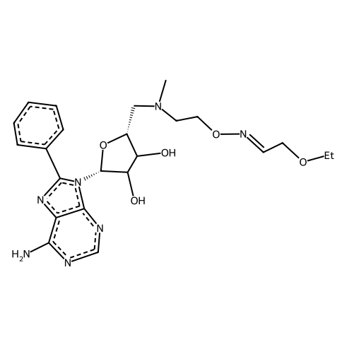 CCOCC=NOCCN(C)C[C@H]1O[C@@H](n2c(-c3ccccc3)nc3c(N)ncnc32)C(O)C1O